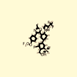 Cc1nc(-c2ccc(OC(F)(F)F)cc2)c(-c2cc(-c3cc(F)c(CO)c(S(C)(=O)=O)c3)ccc2-n2ccc(C(C)(F)F)n2)o1